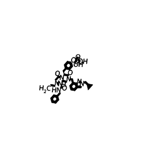 C=CCN1CC(=O)N2[C@@H](Cc3ccc(OP(=O)(O)O)cc3)C(=O)N(Cc3cccc4cn(CC5CC5)nc34)C[C@@H]2N1C(=O)NCc1ccccc1